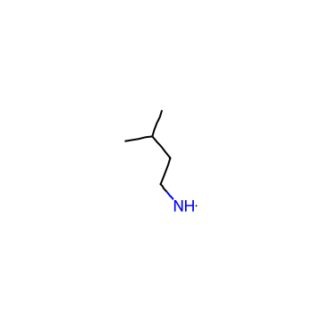 CC(C)CC[NH]